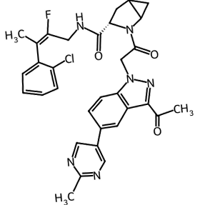 CC(=O)c1nn(CC(=O)N2C3CC3C[C@H]2C(=O)NC/C(F)=C(/C)c2ccccc2Cl)c2ccc(-c3cnc(C)nc3)cc12